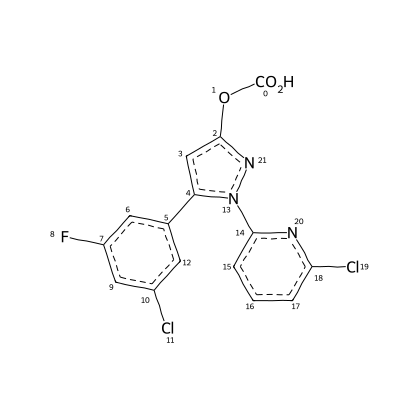 O=C(O)Oc1cc(-c2cc(F)cc(Cl)c2)n(-c2cccc(Cl)n2)n1